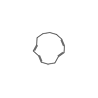 [CH]1/C=C/C=C/CCCC/C=C\C=C\C1